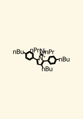 CCCCC1=C(c2ccc(CCCC)cc2)[N+](=[N-])C(c2ccc(CCCC)cc2)=C1.CC[CH2][Ni][CH2]CC